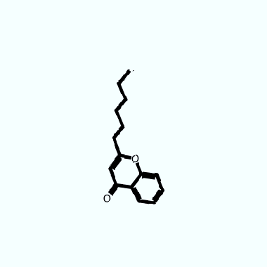 [CH2]CCCCCc1cc(=O)c2ccccc2o1